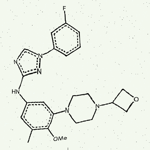 COc1c(C)cc(Nc2ncn(-c3cccc(F)c3)n2)cc1N1CCN(C2COC2)CC1